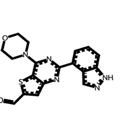 O=Cc1cc2nc(-c3cccc4[nH]ncc34)nc(N3CCOCC3)c2s1